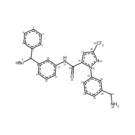 CCCCC(c1ccccc1)c1cccc(NC(=O)c2cc(C(F)(F)F)nn2-c2cccc(CN)c2)c1